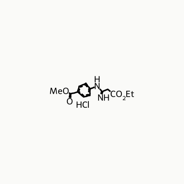 CCOC(=O)CC(=N)Nc1ccc(C(=O)OC)cc1.Cl